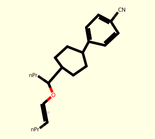 CCC/C=C/OC(CCC)C1CCC(c2ccc(C#N)cc2)CC1